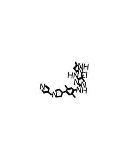 Cc1cc(Nc2nc(Nc3cc(C)c(C4CCN(Cc5ccncc5)CC4)cc3C)ncc2Cl)n[nH]1